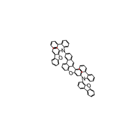 c1ccc(-c2ccccc2N(c2ccc3c(c2)Oc2cccc4c2c-3cc2ccc(N(c3ccccc3-c3ccccc3)c3cccc5c3oc3ccccc35)cc24)c2cccc3c2oc2ccccc23)cc1